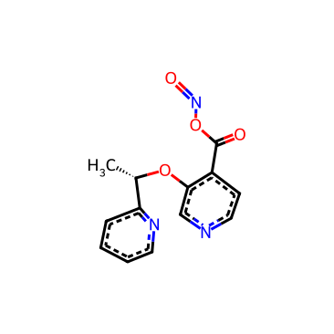 C[C@H](Oc1cnccc1C(=O)ON=O)c1ccccn1